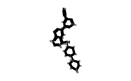 N#Cc1cncc(-c2ccc3ncnc(N[C@H]4CC[C@H](N5CCOCC5)CC4)c3c2)c1